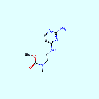 CN(CCNc1ccnc(N)n1)C(=O)OC(C)(C)C